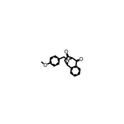 COc1ccc(CN2C3C(=O)CC2c2ccccc2C3=O)cc1